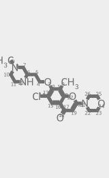 Cc1c(OCCC2CN(C)CCN2)c(Cl)cc2c(=O)cc(N3CCOCC3)oc12